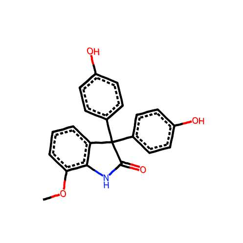 COc1cccc2c1NC(=O)C2(c1ccc(O)cc1)c1ccc(O)cc1